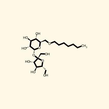 CCCCCCCOC[C@H]1O[C@H](O[C@]2(CO)O[C@H](CO)[C@@H](O)[C@@H]2O)[C@H](O)[C@@H](O)[C@@H]1O